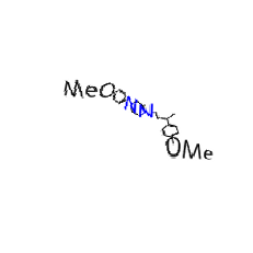 COc1ccc(C(C)CCN2CCN(c3ccc(OC)cc3)CC2)cc1